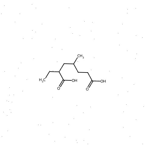 CCC(CC(C)CCC(=O)O)C(=O)O